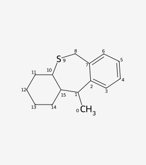 CC1c2ccccc2CSC2CCCCC21